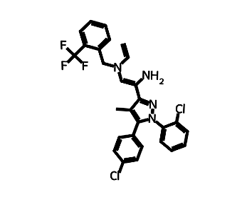 C=CN(/C=C(\N)c1nn(-c2ccccc2Cl)c(-c2ccc(Cl)cc2)c1C)Cc1ccccc1C(F)(F)F